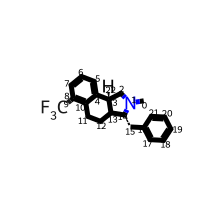 CN1C[C@@H]2c3cccc(C(F)(F)F)c3CCC2[C@H]1Cc1ccccc1